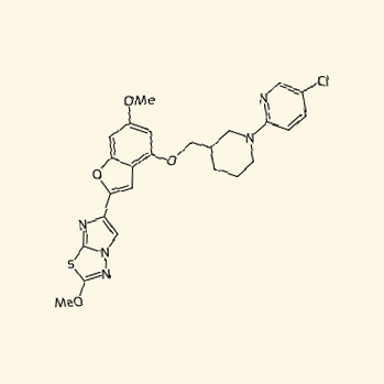 COc1cc(OCC2CCCN(c3ccc(Cl)cn3)C2)c2cc(-c3cn4nc(OC)sc4n3)oc2c1